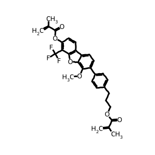 C=C(C)C(=O)OCCCc1ccc(-c2ccc3c(oc4c(C(F)(F)F)c(OC(=O)C(=C)C)ccc43)c2OC)cc1